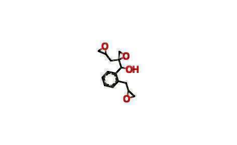 OC(c1ccccc1CC1CO1)C1(CC2CO2)CO1